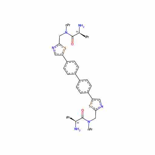 CCCN(Cc1ncc(-c2ccc(-c3ccc(-c4cnc(CN(CCC)C(=O)[C@@H](N)C(C)C)s4)cc3)cc2)s1)C(=O)[C@@H](N)C(C)C